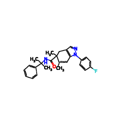 CC1=Cc2c(cnn2-c2ccc(F)cc2)CC1(C)C(=O)NC(C)(C)c1ccccc1